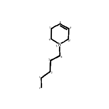 CCCCCN1C[CH]C=CC1